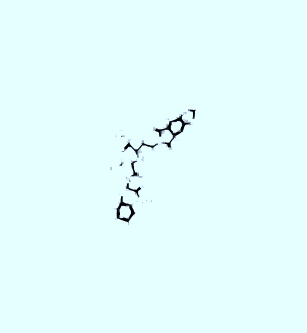 CNC(=O)[C@H](Cc1ccccc1)NC(=O)[C@H](CC(C)C)NC(CCN1C(=O)c2cc3c(cc2C1=O)OCO3)C(=O)OC(C)(C)C